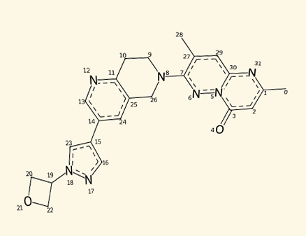 Cc1cc(=O)n2nc(N3CCc4ncc(-c5cnn(C6COC6)c5)cc4C3)c(C)cc2n1